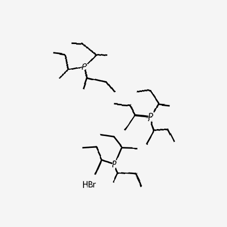 Br.CCC(C)P(C(C)CC)C(C)CC.CCC(C)P(C(C)CC)C(C)CC.CCC(C)P(C(C)CC)C(C)CC